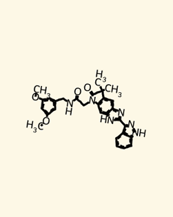 COc1cc(CNC(=O)CN2C(=O)C(C)(C)c3cc4nc(-c5n[nH]c6ccccc56)[nH]c4cc32)cc(OC)c1